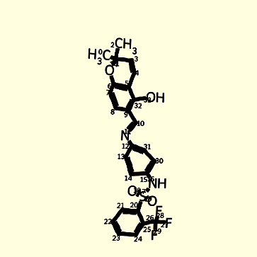 CC1(C)C=Cc2c(ccc(C=Nc3ccc(NS(=O)(=O)c4ccccc4C(F)(F)F)cc3)c2O)O1